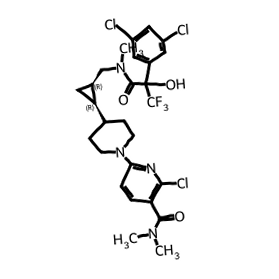 CN(C)C(=O)c1ccc(N2CCC([C@H]3C[C@H]3CN(C)C(=O)C(O)(c3cc(Cl)cc(Cl)c3)C(F)(F)F)CC2)nc1Cl